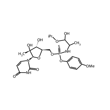 COc1ccc(OP(=S)(NC(C)C(O)OC(C)C)OC[C@H]2O[C@@H](n3ccc(=O)[nH]c3=O)[C@](C)(O)[C@@H]2O)cc1